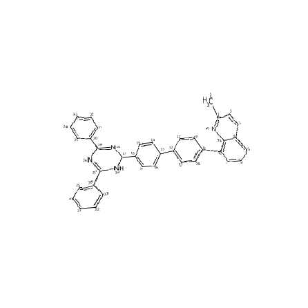 Cc1ccc2cccc(-c3ccc(-c4ccc(C5N=C(c6ccccc6)N=C(c6ccccc6)N5)cc4)cc3)c2n1